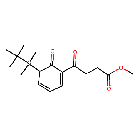 COC(=O)CCC(=O)C1=CC=CC([Si](C)(C)C(C)(C)C)C1=O